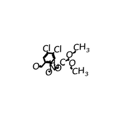 CCOC(C)OCC.O=Cc1cc(Cl)c(Cl)cc1[N+](=O)[O-]